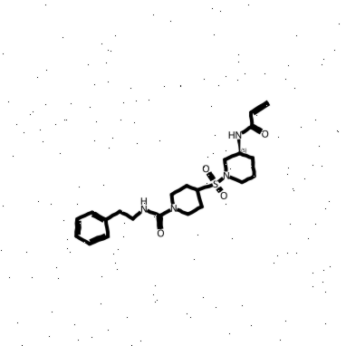 C=CC(=O)N[C@H]1CCCN(S(=O)(=O)C2CCN(C(=O)NCCc3ccccc3)CC2)C1